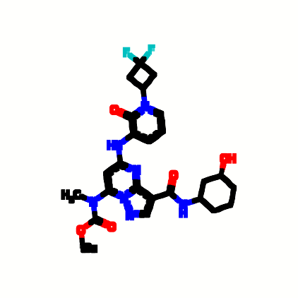 CN(C(=O)OC(C)(C)C)c1cc(Nc2cccn(C3CC(F)(F)C3)c2=O)nc2c(C(=O)NC3CCC[C@H](O)C3)cnn12